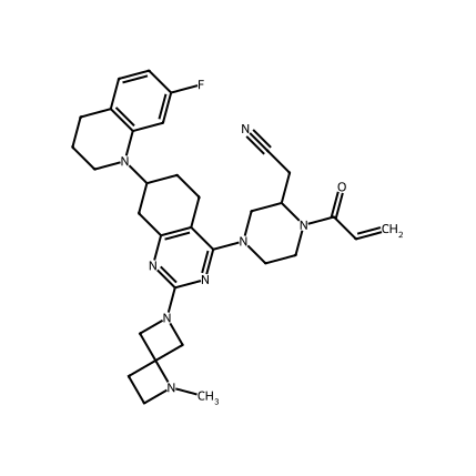 C=CC(=O)N1CCN(c2nc(N3CC4(CCN4C)C3)nc3c2CCC(N2CCCc4ccc(F)cc42)C3)CC1CC#N